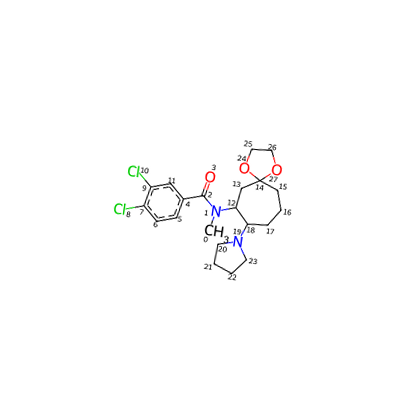 CN(C(=O)c1ccc(Cl)c(Cl)c1)C1CC2(CCCC1N1CCCC1)OCCO2